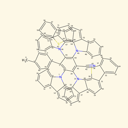 Cc1ccc(-c2c(-n3c4ccccc4c4ccccc43)c(-n3c4ccccc4c4ccc5c6ccccc6sc5c43)c(C#N)c(-n3c4ccccc4c4ccc5c6ccccc6sc5c43)c2-n2c3ccccc3c3ccccc32)cc1